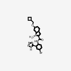 Cn1c(C(=O)Nc2ccc(Br)cc2-c2nnn[nH]2)cc2ccc(OCC3CCC3)cc21